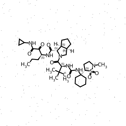 CCC[C@H](NC(=O)[C@@H]1[C@H]2CCC[C@H]2CN1C(=O)[C@@H](NC(=O)NC1([C@@H]2CCN(C)S2(=O)=O)CCCCC1)C(C)(C)C)C(=O)C(=O)NC1CC1